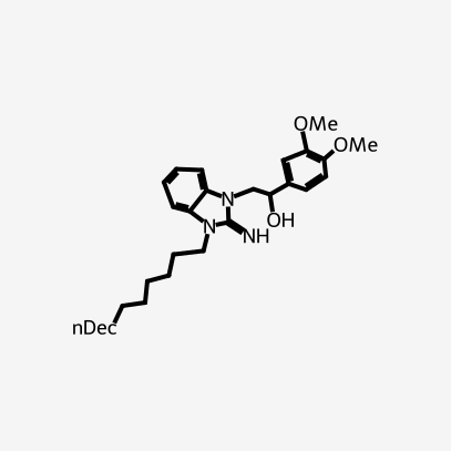 CCCCCCCCCCCCCCCCn1c(=N)n(CC(O)c2ccc(OC)c(OC)c2)c2ccccc21